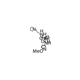 COc1ccc(NC(=O)[C@H]2[C@H](C(=O)NCCCCN3CCCC3)[C@H]3C=C[C@@H]2C32CC2)cn1